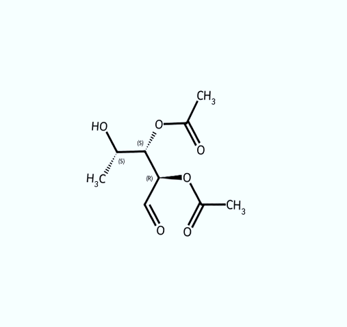 CC(=O)O[C@@H]([C@H](C)O)[C@H](C=O)OC(C)=O